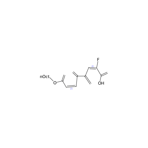 C=C(/C=C\C(=C)C(=C)/C=C(/F)C(=C)O)OCCCCCCCC